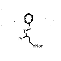 CCCCCCCCCCC[CH]([Ti][S]c1ccccc1)C(C)C